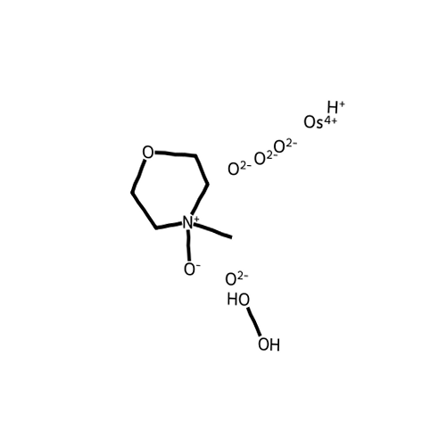 C[N+]1([O-])CCOCC1.OO.[H+].[O-2].[O-2].[O-2].[O-2].[Os+4]